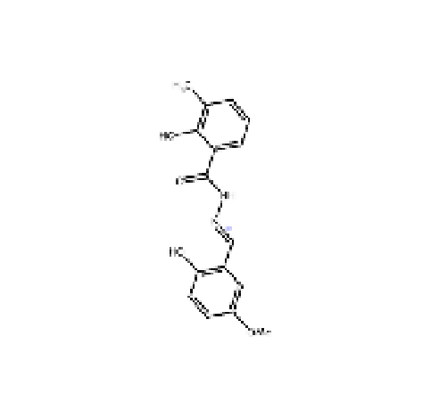 COc1ccc(O)c(/C=N/NC(=O)c2cccc(C)c2O)c1